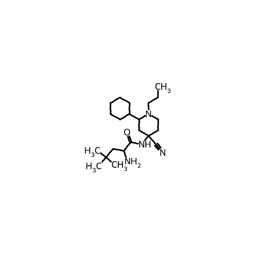 CCCN1CCC(C#N)(NC(=O)C(N)CC(C)(C)C)CC1C1CCCCC1